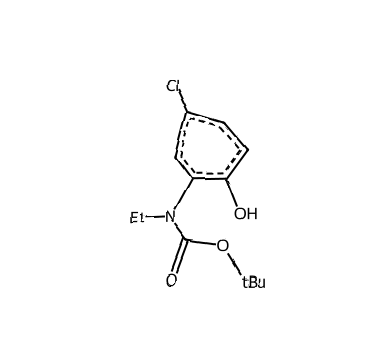 [CH2]CN(C(=O)OC(C)(C)C)c1cc(Cl)ccc1O